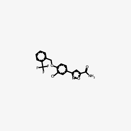 NC(=O)c1cc(-c2ccc(OCc3ccccc3C(F)(F)F)c(Cl)c2)no1